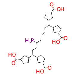 O=C(O)C1CCC(C(CCCCC(P)CCC(C2CCC(C(=O)O)C2)C2CCC(C(=O)O)C2)C2CCC(C(=O)O)C2)C1